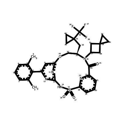 Cc1cccc(C)c1-c1cc2nc(n1)NS(=O)(=O)c1cccc(n1)C(=O)N(C1CC3(CC3)C1)[C@H](CC1(C(F)(F)F)CC1)CO2